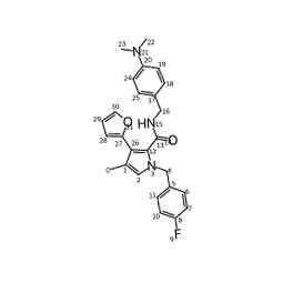 Cc1cn(Cc2ccc(F)cc2)c(C(=O)NCc2ccc(N(C)C)cc2)c1-c1ccco1